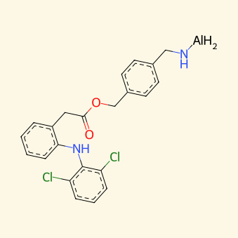 O=C(Cc1ccccc1Nc1c(Cl)cccc1Cl)OCc1ccc(C[NH][AlH2])cc1